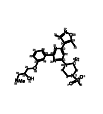 CC[C@@H]1CN(S(C)(=O)=O)CCN1c1cc(-c2c(C)noc2C)nc(-c2cccc(OCC(O)CNC)c2)n1